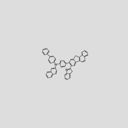 c1ccc(-c2ccc(N(c3ccc(-c4cc5c(cc4C4=Nc6ccccc6C4)-c4ccc6ccccc6c4C5)cc3)c3ccc4ccccc4c3)cc2)cc1